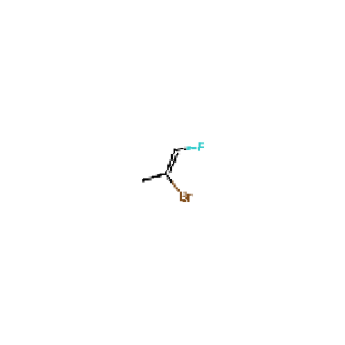 C/C(Br)=C/F